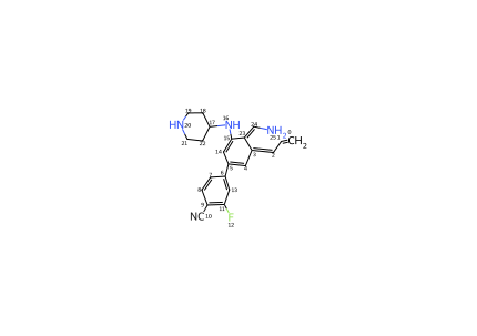 C=C/C=c1/cc(-c2ccc(C#N)c(F)c2)cc(NC2CCNCC2)/c1=C/N